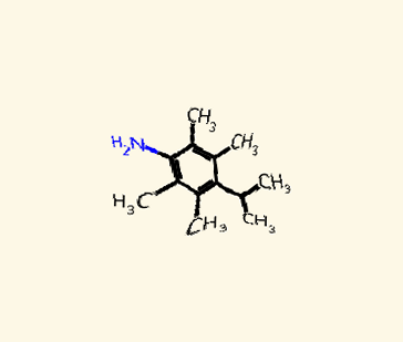 Cc1c(C)c(C(C)C)c(C)c(C)c1N